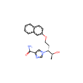 C[C@H](O)[C@@H](CCOc1ccc2ccccc2c1)n1cnc(C(N)=O)c1